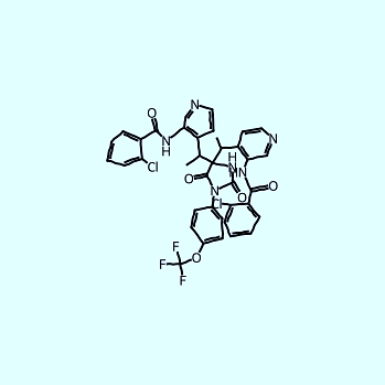 CC(c1ccncc1NC(=O)c1ccccc1Cl)C1(C(C)c2ccncc2NC(=O)c2ccccc2Cl)NC(=O)N(c2ccc(OC(F)(F)F)cc2)C1=O